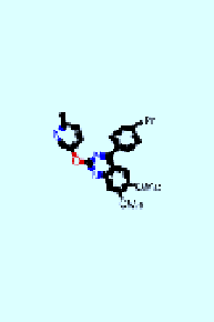 COc1cc2nc(Oc3ccc(C)nc3)nc(-c3ccc(C(C)C)cc3)c2cc1OC